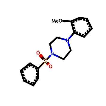 COc1ccccc1N1CCN(S(=O)(=O)c2[c]cccc2)CC1